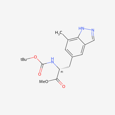 COC(=O)[C@@H](Cc1cc(C)c2[nH]ncc2c1)NC(=O)OC(C)(C)C